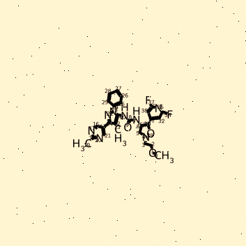 COCCN1C[C@H](NC(=O)Nc2c(C)c(-c3cnc(C)nc3)nn2-c2ccccc2)[C@@H](c2cc(F)nc(F)c2)O1